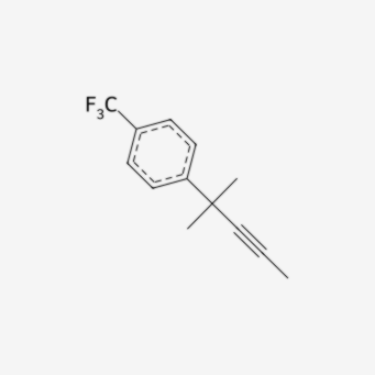 CC#CC(C)(C)c1ccc(C(F)(F)F)cc1